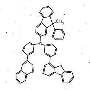 CC1(c2ccccc2)c2ccccc2-c2ccc(N(c3cccc(-c4ccc5ccccc5c4)c3)c3cccc(-c4cccc5c4sc4ccccc45)c3)cc21